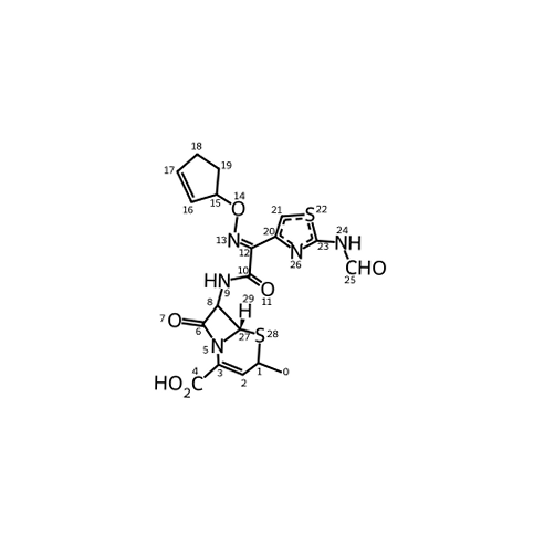 CC1C=C(C(=O)O)N2C(=O)C(NC(=O)C(=NOC3C=CCC3)c3csc(NC=O)n3)[C@@H]2S1